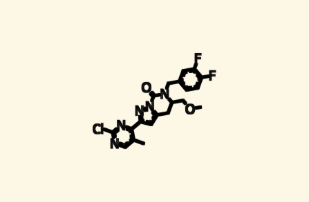 COCC1Cc2cc(-c3nc(Cl)ncc3C)nn2C(=O)N1Cc1ccc(F)c(F)c1